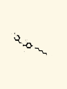 CCCCCCCCCCCCCCCCOc1ccc(C(=O)NCc2cc[n+](CCC)cc2)c(OC)c1.[I-]